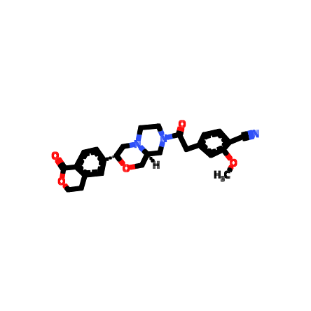 COc1cc(CC(=O)N2CCN3C[C@@H](c4ccc5c(c4)CCOC5=O)OC[C@@H]3C2)ccc1C#N